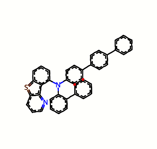 c1ccc(-c2ccc(-c3ccc(N(c4ccccc4-c4ccccc4)c4cccc5sc6cccnc6c45)cc3)cc2)cc1